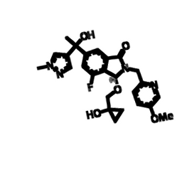 COc1ccc(CN2C(=O)c3cc(C(C)(O)c4cnn(C)c4)cc(F)c3[C@H]2OCC2(O)CC2)nc1